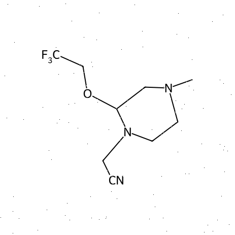 CN1CCN(CC#N)C(OCC(F)(F)F)C1